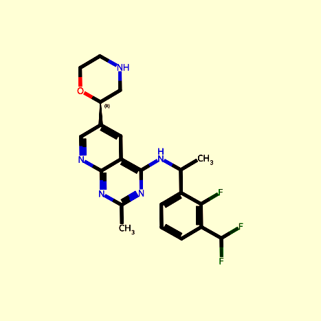 Cc1nc(NC(C)c2cccc(C(F)F)c2F)c2cc([C@@H]3CNCCO3)cnc2n1